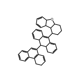 C1=CCC2C(=C1)C(C1CCCC3OC4C=CC=CC4C31)=C1C=CC=CC1C2c1cc2ccccc2c2c1C=CCC2